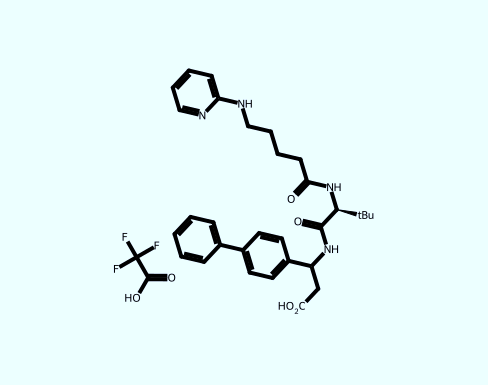 CC(C)(C)[C@H](NC(=O)CCCCNc1ccccn1)C(=O)NC(CC(=O)O)c1ccc(-c2ccccc2)cc1.O=C(O)C(F)(F)F